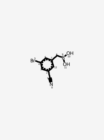 N#Cc1cc(Br)cc(CB(O)O)c1